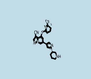 N#Cc1cnn2cc(-c3cnn([C@H]4CCCNC4)c3)cc(Sc3cccc(C(F)(F)F)n3)c12